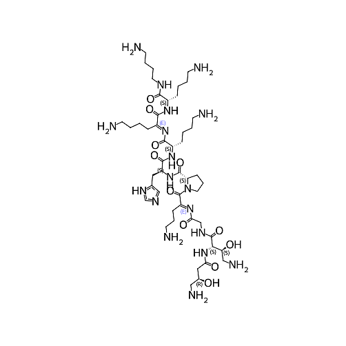 NCCCCNC(=O)[C@H](CCCCN)NC(=O)/C(CCCCN)=N/C(=O)[C@H](CCCCN)NC(=O)[C@H](Cc1cnc[nH]1)NC(=O)[C@@H]1CCCN1C(=O)/C(CCCN)=N/C(=O)CNC(=O)[C@@H](NC(=O)C[C@@H](O)CN)[C@@H](O)CN